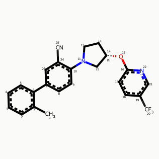 Cc1ccccc1-c1ccc(N2CC[C@H](Oc3ccc(C(F)(F)F)cn3)C2)c(C#N)c1